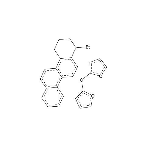 CCC1CCCc2c1ccc1c2ccc2ccccc21.c1coc(Oc2ccco2)c1